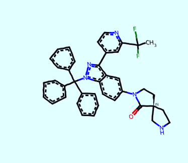 CC(F)(F)c1cc(-c2nn(C(c3ccccc3)(c3ccccc3)c3ccccc3)c3ccc(N4CC[C@]5(CCNC5)C4=O)cc23)ccn1